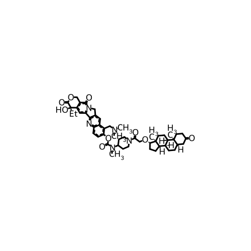 CC[C@@]1(O)C(=O)OCc2c1cc1n(c2=O)Cc2cc3c(CN(C)C)c(OC(=O)N(C)C4CCN(C(=O)CO[C@H]5CC[C@H]6[C@@H]7CC[C@H]8CC(=O)CC[C@]8(C)[C@H]7CC[C@]56C)CC4)ccc3nc2-1